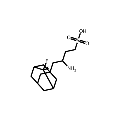 NC(CCS(=O)(=O)O)CC12CC3CC(C1)C(F)(F)C(C3)C2